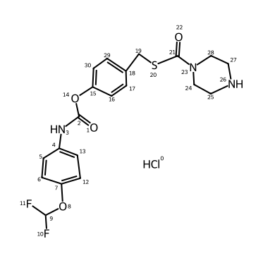 Cl.O=C(Nc1ccc(OC(F)F)cc1)Oc1ccc(CSC(=O)N2CCNCC2)cc1